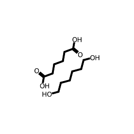 O=C(O)CCCCC(=O)O.OCCCCCCO